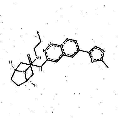 Cc1ncc(-c2ccc3nnc(NC(=O)N4[C@@H]5CC[C@H]4CC(NCCF)C5)cc3c2)o1